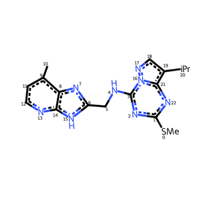 CSc1nc(NCc2nc3c(C)ccnc3[nH]2)n2ncc(C(C)C)c2n1